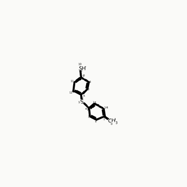 Cc1ccc(Sc2ccc(S)cc2)cc1